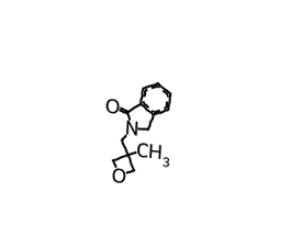 CC1(CN2Cc3ccccc3C2=O)COC1